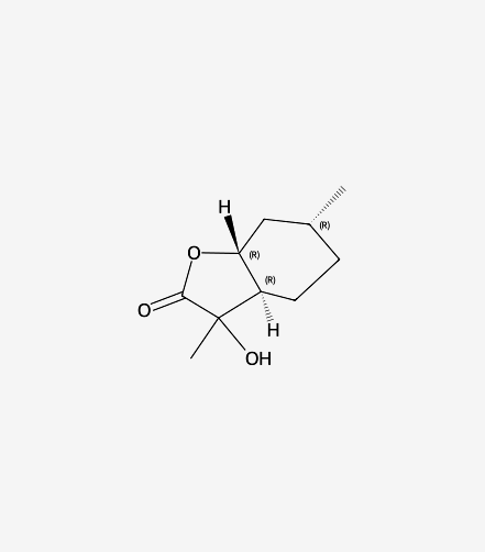 C[C@@H]1CC[C@@H]2[C@@H](C1)OC(=O)C2(C)O